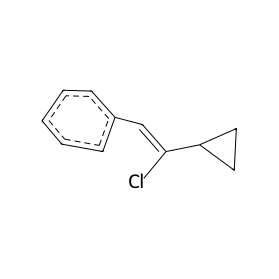 ClC(=Cc1ccccc1)C1CC1